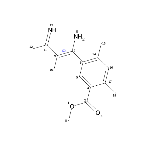 COC(=O)c1cc(/C(N)=C(\C)C(C)=N)c(C)cc1C